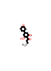 CCCC(=O)C1=C(O)CC(C2CCC3OC3C2)CC1=O